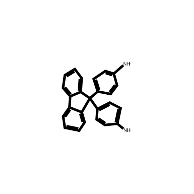 [NH]c1ccc(C2(c3ccc([NH])cc3)c3ccccc3-c3ccccc32)cc1